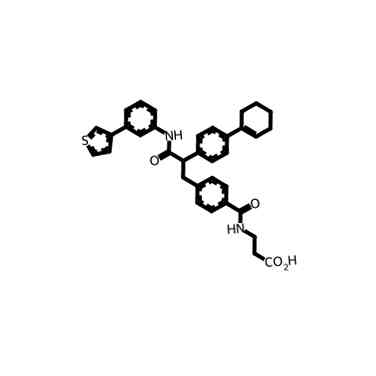 O=C(O)CCNC(=O)c1ccc(CC(C(=O)Nc2cccc(-c3ccsc3)c2)c2ccc(C3=CCCCC3)cc2)cc1